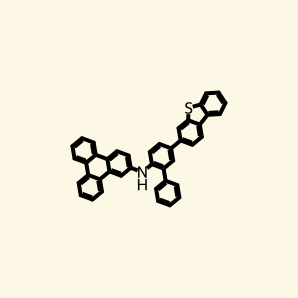 c1ccc(-c2cc(-c3ccc4c(c3)sc3ccccc34)ccc2Nc2ccc3c4ccccc4c4ccccc4c3c2)cc1